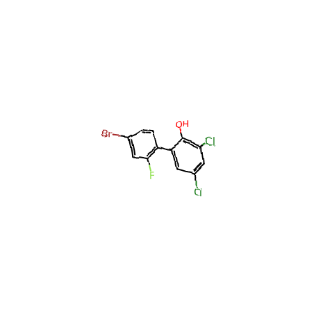 Oc1c(Cl)cc(Cl)cc1-c1ccc(Br)cc1F